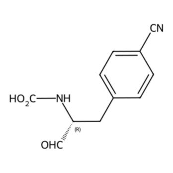 N#Cc1ccc(C[C@H](C=O)NC(=O)O)cc1